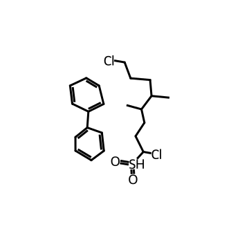 CC(CCCCl)C(C)CCC(Cl)[SH](=O)=O.c1ccc(-c2ccccc2)cc1